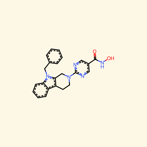 O=C(NO)c1cnc(N2CCc3c(n(Cc4ccccc4)c4ccccc34)C2)nc1